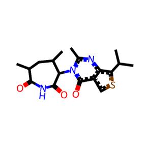 Cc1nc2c(C(C)C)scc2c(=O)n1C1C(=O)NC(=O)C(C)CC1C